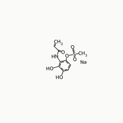 C=CC(=O)Nc1c(OS(C)(=O)=O)ccc(O)c1O.[Na]